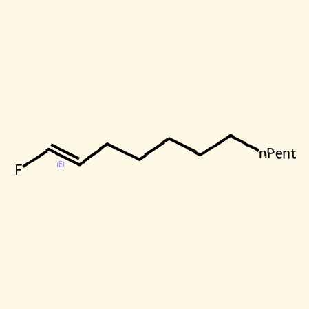 CCCCCCCCCC/C=C/F